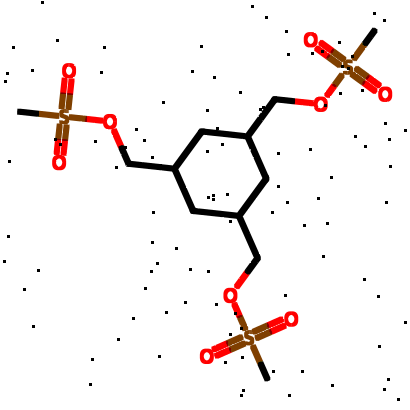 CS(=O)(=O)OCC1CC(COS(C)(=O)=O)CC(COS(C)(=O)=O)C1